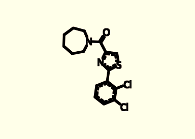 O=C(c1csc(-c2cccc(Cl)c2Cl)n1)N1CCCCCC1